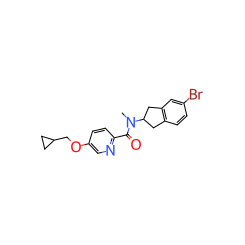 CN(C(=O)c1ccc(OCC2CC2)cn1)C1Cc2ccc(Br)cc2C1